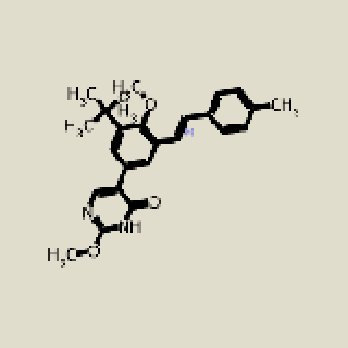 COc1ncc(-c2cc(/C=C/c3ccc(C)cc3)c(OC)c(C(C)(C)C)c2)c(=O)[nH]1